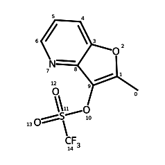 Cc1oc2cccnc2c1OS(=O)(=O)C(F)(F)F